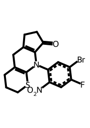 O=C1CCC2=C1N(c1cc(Br)c(F)cc1[N+](=O)[O-])C1=C(CCCS1)C2